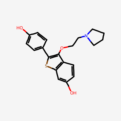 Oc1ccc(-c2sc3cc(O)ccc3c2OCCN2CCCC2)cc1